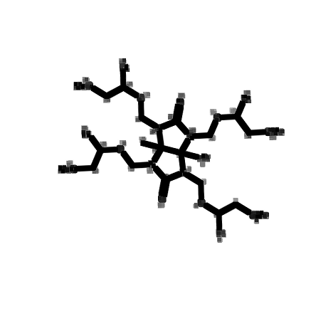 CCCC12N(COC(CC)COC)C(=O)N(COC(CC)COC)C1(C)N(COC(CC)COC)C(=O)N2COC(CC)COC